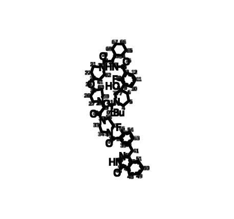 CC(C)(C)C(=O)N1CCC[C@](O)(c2cccc(C(=O)N[C@@H](C(=O)N3CCC(OC4CCN(CC(=O)N5CCN(C(=O)c6cc(Cc7n[nH]c(=O)c8ccccc78)ccc6F)CC5)CC4)CC3)C3CCCCC3)c2F)C1